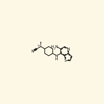 C[C@H](C#N)C1CCC(Nc2c(N)cnc3ccsc23)CC1